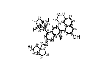 Oc1cc(-c2ncc3c(N4C[C@H]5CC[C@@H](C4)N5)nc(OC[C@@]45CCCN4C[C@H](F)C5)nc3c2F)c2c3c(ccc2c1)CCCC3